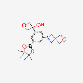 CC1(C)OB(c2cc(N3CC4(COC4)C3)cc(C3(O)COC3)c2)OC1(C)C